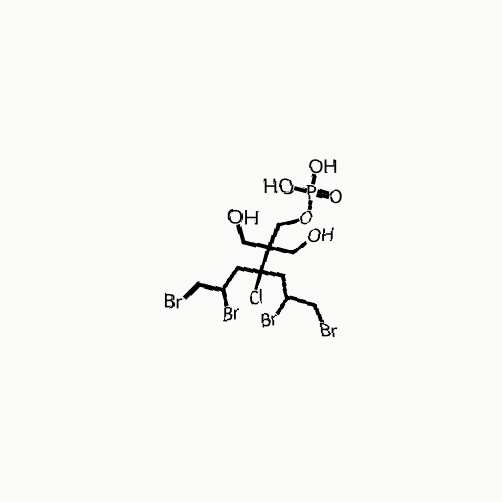 O=P(O)(O)OCC(CO)(CO)C(Cl)(CC(Br)CBr)CC(Br)CBr